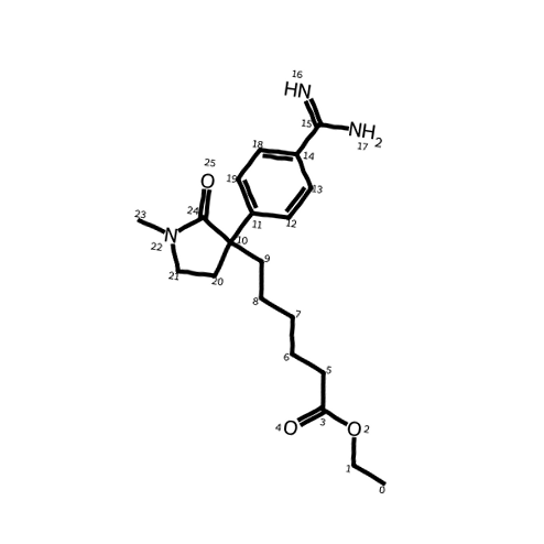 CCOC(=O)CCCCCC1(c2ccc(C(=N)N)cc2)CCN(C)C1=O